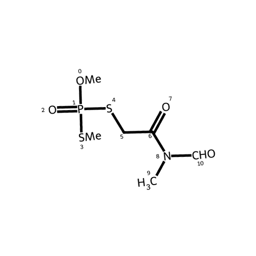 COP(=O)(SC)SCC(=O)N(C)C=O